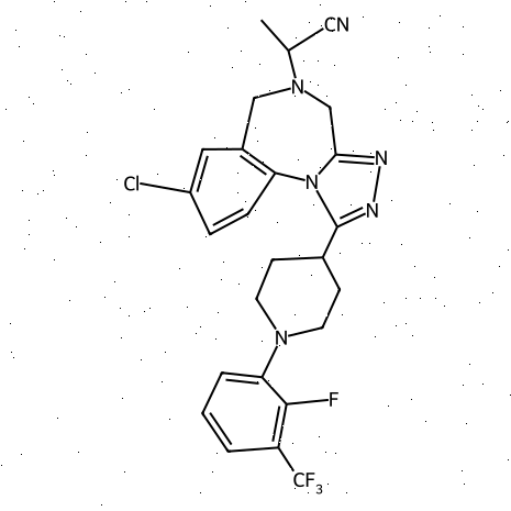 CC(C#N)N1Cc2cc(Cl)ccc2-n2c(nnc2C2CCN(c3cccc(C(F)(F)F)c3F)CC2)C1